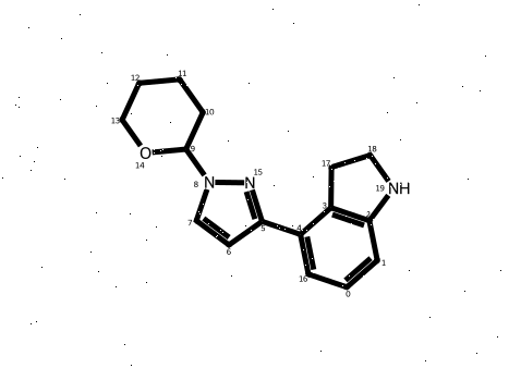 c1cc2c(c(-c3ccn(C4CCCCO4)n3)c1)CCN2